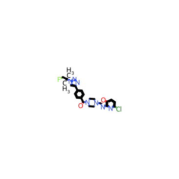 CC(C)(CF)n1cc(-c2ccc(C(=O)N3CCN(c4nc5nc(Cl)ccc5o4)CC3)cc2)nn1